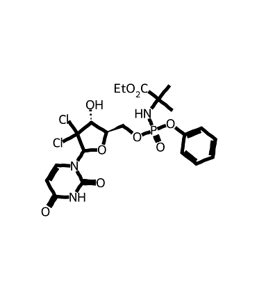 CCOC(=O)C(C)(C)NP(=O)(OC[C@H]1OC(n2ccc(=O)[nH]c2=O)C(Cl)(Cl)[C@@H]1O)Oc1ccccc1